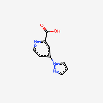 O=C(O)c1cc(-n2cccn2)ccn1